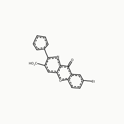 CCc1ccc2oc3cc(C(=O)O)c(-c4ccccc4)nc3c(=O)c2c1